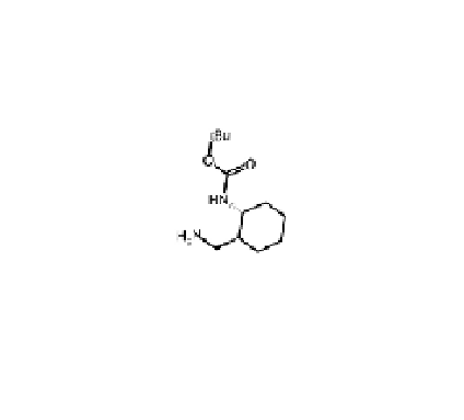 CC(C)(C)OC(=O)N[C@@H]1CCCC[C@H]1CN